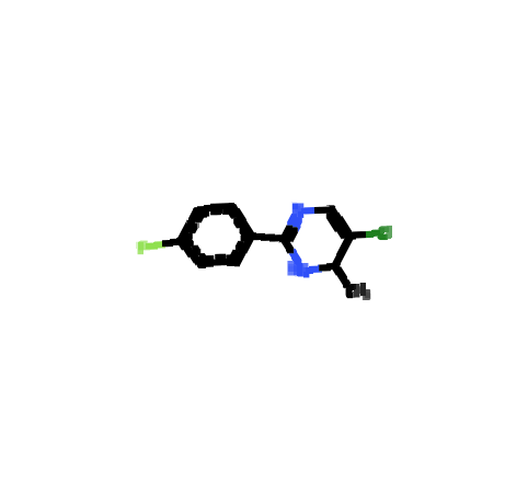 CC1NC(c2ccc(F)cc2)=NC=C1Cl